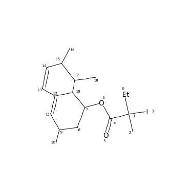 CCC(C)(I)C(=O)OC1CC(C)C=C2C=CC(C)C(C)C21